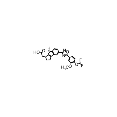 COc1cc(-c2nc(-c3ccc4[nH]c5c(c4c3)CCC5CC(=O)O)no2)ccc1OC(F)F